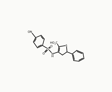 O=Nc1ccc(S(=O)(=O)NC2=C(C(=O)O)SC(c3ccccc3)C2)cc1